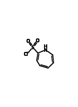 O=S(=O)(Cl)C1=CC=CC=CN1